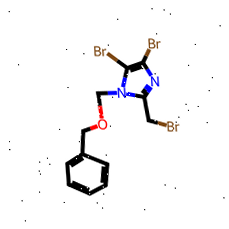 BrCc1nc(Br)c(Br)n1COCc1ccccc1